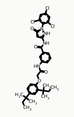 CCC(C)(C)c1ccc(OCC(=O)Nc2cccc(C(=O)Nc3cc(=O)n(-c4c(Cl)cc(Cl)cc4Cl)[nH]3)c2)c(C(C)(C)CC)c1